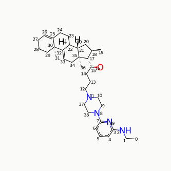 CCNc1cccc(N2CCN(CCCC(=O)[C@H]3[C@H](C)C[C@H]4[C@@H]5CCC6=CCCC[C@]6(C)C5=CC[C@@]43C)CC2)n1